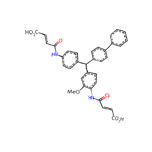 COc1cc(C(c2ccc(NC(=O)/C=C/C(=O)O)cc2)c2ccc(-c3ccccc3)cc2)ccc1NC(=O)/C=C/C(=O)O